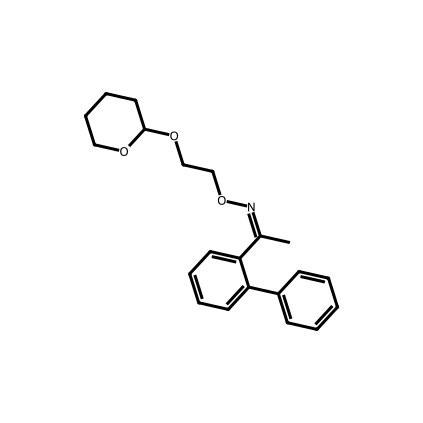 CC(=NOCCOC1CCCCO1)c1ccccc1-c1ccccc1